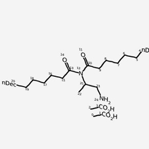 CC(=O)O.CC(=O)O.CCCCCCCCCCCCCCCC(=O)N(C(=O)CCCCCCCCCCCCCCC)C(C)CN